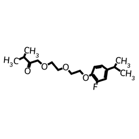 CC(C)C(=O)COCCOCCOc1ccc(C(C)C)cc1F